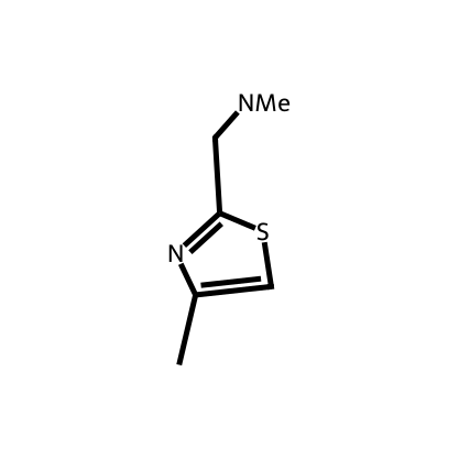 CNCc1nc(C)cs1